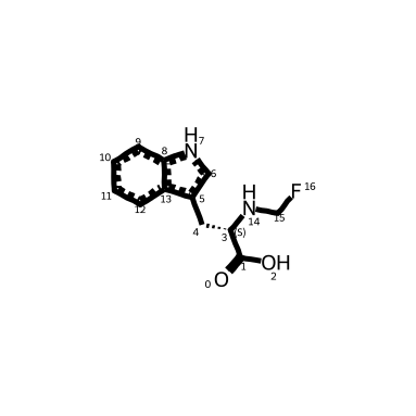 O=C(O)[C@H](Cc1c[nH]c2ccccc12)NCF